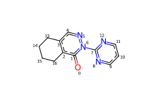 O=c1c2c(cnn1-c1ncccn1)CCCC2